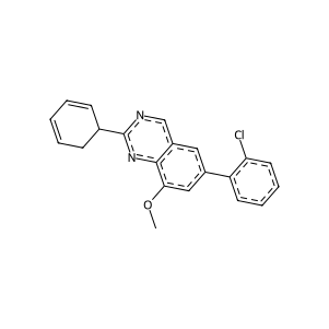 COc1cc(-c2ccccc2Cl)cc2cnc(C3C=CC=CC3)nc12